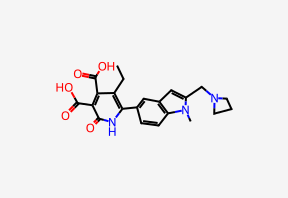 CCc1c(-c2ccc3c(c2)cc(CN2CCC2)n3C)[nH]c(=O)c(C(=O)O)c1C(=O)O